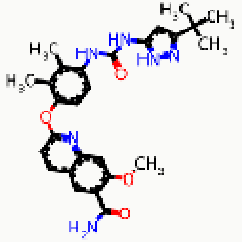 COc1cc2nc(Oc3ccc(NC(=O)Nc4cc(C(C)(C)C)n[nH]4)c(C)c3C)ccc2cc1C(N)=O